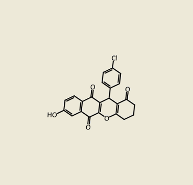 O=C1CCCC2=C1C(c1ccc(Cl)cc1)C1=C(O2)C(=O)c2cc(O)ccc2C1=O